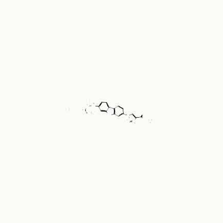 COC(=O)c1cn(-c2ccc3c(c2)sc2cc(S(=O)(=O)N[C@H](C(=O)O)C(C)C)ccc23)nn1